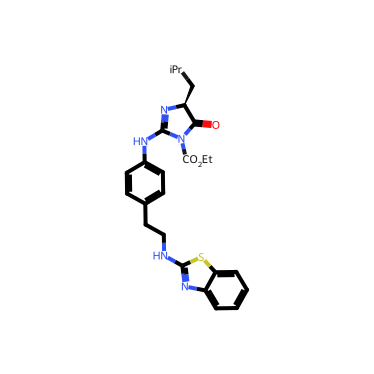 CCOC(=O)N1C(=O)[C@H](CC(C)C)N=C1Nc1ccc(CCNc2nc3ccccc3s2)cc1